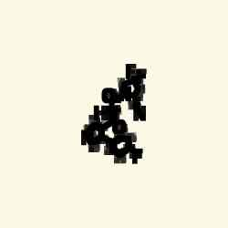 N#CC1CC(F)(F)CN1C(=O)CNC(=O)c1ccncc1-c1ccc(F)cc1